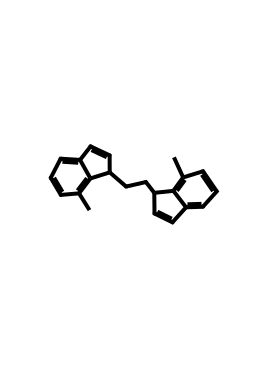 Cc1cccc2c1C(CCC1C=Cc3cccc(C)c31)C=C2